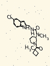 CN(C(=O)NCc1cc2cc(Cl)ccc2[nH]1)[C@@H]1CCCN(C(=O)C2(C)CCC2)C1